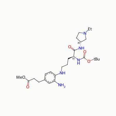 CCN1CC[C@@H](NC(=O)[C@H](CCCNc2ccc(CCC(=O)OC)cc2N)NC(=O)OC(C)(C)C)C1